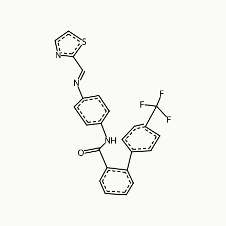 O=C(Nc1ccc(N=Cc2nccs2)cc1)c1ccccc1-c1ccc(C(F)(F)F)cc1